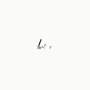 [CH3][Sb+2].[I-].[I-]